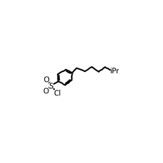 CC(C)CCCCCc1ccc(S(=O)(=O)Cl)cc1